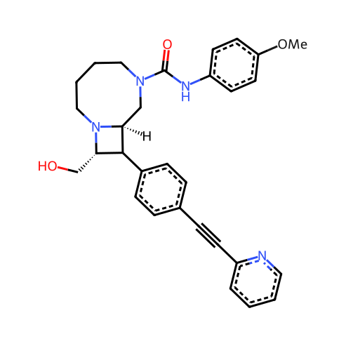 COc1ccc(NC(=O)N2CCCCN3[C@@H](CO)C(c4ccc(C#Cc5ccccn5)cc4)[C@@H]3C2)cc1